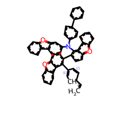 C=CC/C=C\C(=C/C)c1c(-c2ccc3oc4ccccc4c3c2N(c2ccc(-c3ccccc3)cc2)c2ccc3c(c2)oc2ccccc23)ccc2oc3ccccc3c12